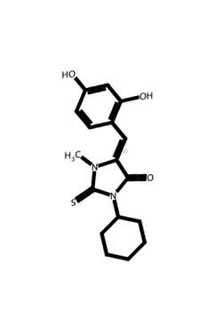 CN1C(=S)N(C2CCCCC2)C(=O)/C1=C/c1ccc(O)cc1O